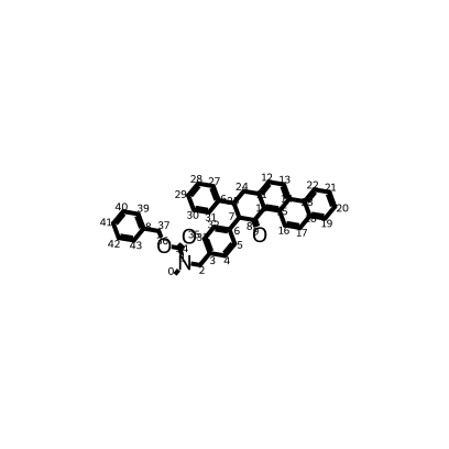 CN(Cc1ccc(C2C(=O)c3c(ccc4c3ccc3ccccc34)CC2c2ccccc2)cc1)C(=O)OCc1ccccc1